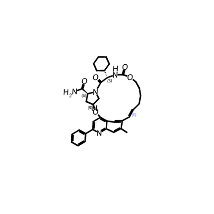 Cc1cc2nc(-c3ccccc3)cc3c2cc1/C=C/CCCCOC(=O)N[C@@H](C1CCCCC1)C(=O)N1C[C@@H](C[C@H]1C(N)=O)O3